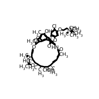 CO[C@H]1/C=C/O[C@@]2(C)Oc3c(C)c(O)c4c(=O)c(c5oc6cc(OCC[N+](C)(C)C(C)(C)C)c(Cl)cc6nc-5c4c3C2=O)NC(=O)/C(C)=C\C=C\[C@H](C)[C@H](O)[C@@H](C)[C@@H](C)[C@@H](C)[C@H](OC(C)=O)[C@@H]1C